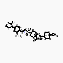 Cc1cc(N2CCOC2=O)ccc1/C=C/S(=O)(=O)N1CCC2(CC1)N=C(C1CCC(C)CC1)NC2=O